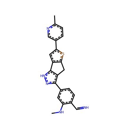 CNc1cc(-c2n[nH]c3c2Cc2sc(-c4ccc(C)nc4)cc2-3)ccc1C=N